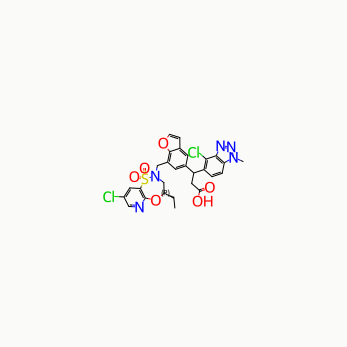 CC[C@@H]1CN(Cc2cc(C(CC(=O)O)c3ccc4c(nnn4C)c3Cl)cc3ccoc23)S(=O)(=O)c2cc(Cl)cnc2O1